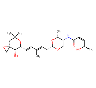 CC(/C=C/[C@H]1OC(C)(C)C[C@@]2(CO2)[C@@H]1O)=C\C[C@H]1OC[C@@H](NC(=O)/C=C\[C@@H](C)O)[C@@H](C)O1